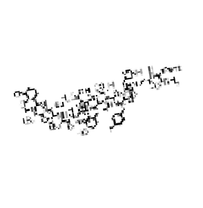 CCCCC[C@H](NC(=O)CCNC(=O)[C@H](Cc1c[nH]cn1)NC(=O)[C@H](Cc1ccc(F)cc1)NC(=O)[C@@H](CCC(=O)O)NC(=O)[C@H](Cc1ccc(O)cc1)NC(=O)[C@@H](NC(=O)[C@@H](NC(=O)[C@@H](NC(=O)[C@@H](NC(=O)[C@@H](NC(=O)c1cccc(Cl)c1Cl)C(C)(C)C)[C@@H](C)CC)C(C)(C)C)[C@@H](C)CC)[C@@H](C)O)C(N)=O